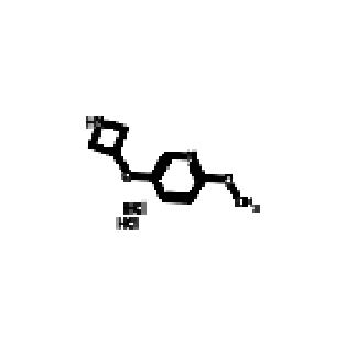 COc1ccc(OC2CNC2)cn1.Cl.Cl